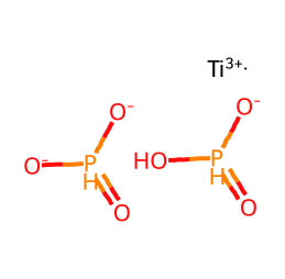 O=[PH]([O-])O.O=[PH]([O-])[O-].[Ti+3]